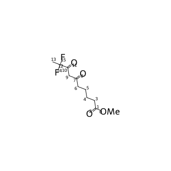 COC(=O)CCCCC(=O)CC(=O)C(C)(F)F